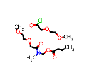 CCCC(=O)OCN(C)C(=O)COCCOC.COCCOCC(=O)Cl